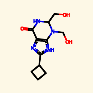 O=C1NC(CO)N(CO)c2[nH]c(C3CCC3)nc21